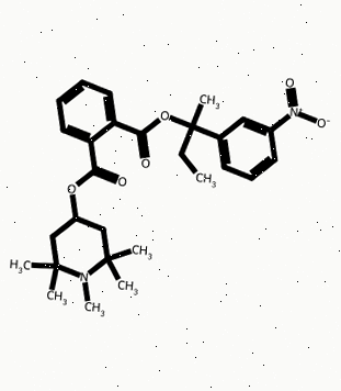 CCC(C)(OC(=O)c1ccccc1C(=O)OC1CC(C)(C)N(C)C(C)(C)C1)c1cccc([N+](=O)[O-])c1